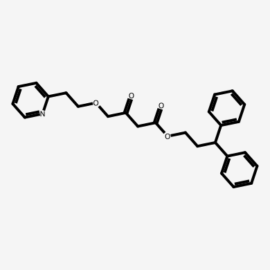 O=C(COCCc1ccccn1)CC(=O)OCCC(c1ccccc1)c1ccccc1